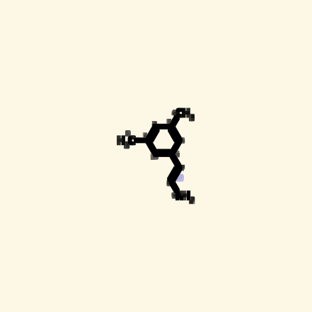 Cc1cc(C)cc(/C=[C]/N)c1